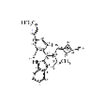 C[C@@H]1Cc2c([nH]c3ccccc23)[C@@H](C2C(F)=CC(/C=C/C(=O)O)=CC2F)N1CC12CC(F)(C1)C2